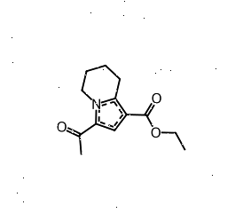 CCOC(=O)c1cc(C(C)=O)n2c1CCCC2